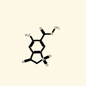 COC(=O)c1cc2c(cc1C)C(=O)CS2(=O)=O